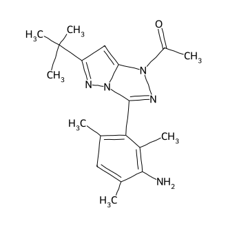 CC(=O)n1nc(-c2c(C)cc(C)c(N)c2C)n2nc(C(C)(C)C)cc12